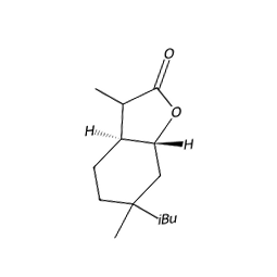 CCC(C)C1(C)CC[C@H]2C(C)C(=O)O[C@@H]2C1